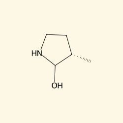 C[C@H]1CCNC1O